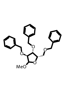 COC1O[C@@H](COCc2ccccc2)[C@@H](OCc2ccccc2)[C@@H]1OCc1ccccc1